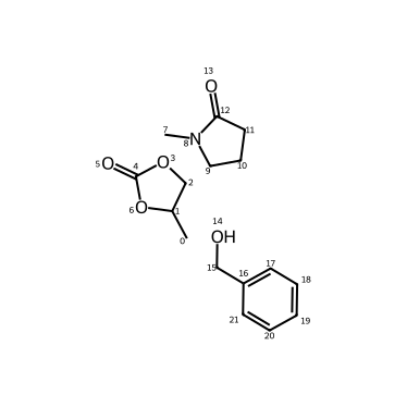 CC1COC(=O)O1.CN1CCCC1=O.OCc1ccccc1